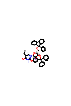 C=Cc1cn([C@@H]2O[C@H](COC(c3ccccc3)(c3ccccc3)c3ccccc3)[C@@H](OC(c3ccccc3)(c3ccccc3)c3ccccc3)[C@H]2I)c(=O)[nH]c1=O